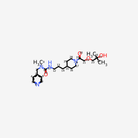 CN(Cc1ccncc1)C(=O)NCCCC1CCN(C(=O)COCC(C)(C)O)CC1